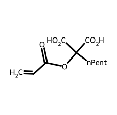 C=CC(=O)OC(CCCCC)(C(=O)O)C(=O)O